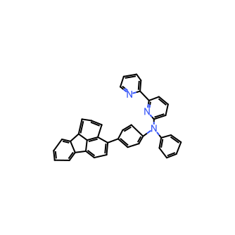 c1ccc(N(c2ccc(-c3ccc4c5c(cccc35)-c3ccccc3-4)cc2)c2cccc(-c3ccccn3)n2)cc1